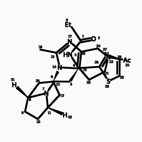 CCC(=O)N[C@@H](CCN1[C@@H]2CC[C@H]1C[C@@H](n1c(C)nc3c1CCN(C(C)=O)C3)C2)c1nccs1